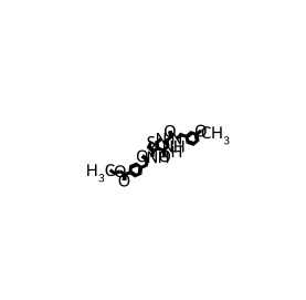 CCOC(=O)c1ccc(CC(=O)Nc2csc3nc(C(=O)NCc4cccc(OC)c4)[nH]c(=O)c23)cc1